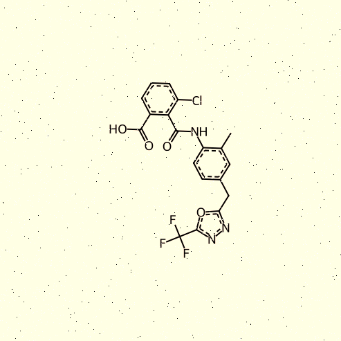 Cc1cc(Cc2nnc(C(F)(F)F)o2)ccc1NC(=O)c1c(Cl)cccc1C(=O)O